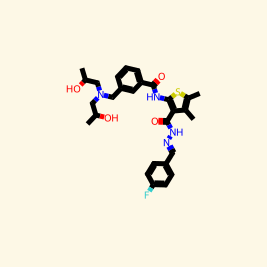 Cc1sc(NC(=O)c2cccc(CN(CC(C)O)CC(C)O)c2)c(C(=O)N/N=C/c2ccc(F)cc2)c1C